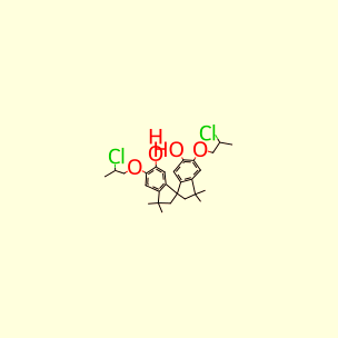 CC(Cl)COc1cc2c(cc1O)C1(CC2(C)C)CC(C)(C)c2cc(OCC(C)Cl)c(O)cc21